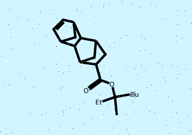 CCC(C)C(C)(CC)OC(=O)C1CC2CC1C1C3C=CC(C3)C21